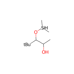 CC(O)C(O[SiH](C)C)C(C)(C)C